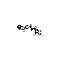 Nc1c(Br)cc(C(=O)C2CC2C(=O)N2CCC(N3Cc4ccccc4NC3=O)CC2)cc1Br